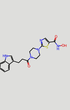 O=C(NO)c1cnc(N2CCN(C(=O)CCc3c[nH]c4ccccc34)CC2)s1